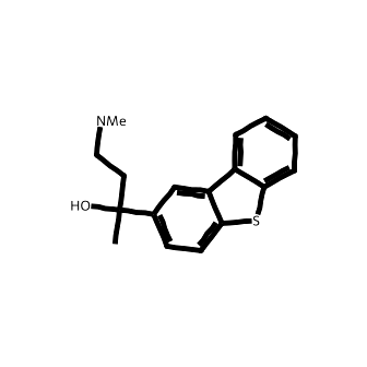 CNCCC(C)(O)c1ccc2sc3ccccc3c2c1